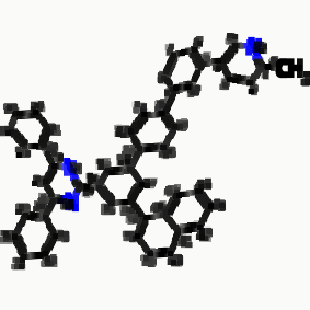 Cc1ccc(-c2cccc(-c3ccc(-c4cc(-c5nc(-c6ccccc6)cc(-c6ccccc6)n5)cc(-c5cccc6ccccc56)c4)cc3)c2)cn1